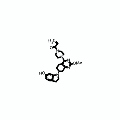 C=CC(=O)N1CCN(c2nc(OC)nc3c2CC[C@@H](N2CCc4ccc(O)cc42)C3)CC1